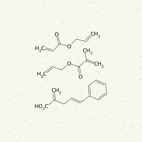 C=C(CC=Cc1ccccc1)C(=O)O.C=CCOC(=O)C(=C)C.C=CCOC(=O)C=C